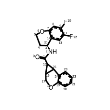 O=C(N[C@H]1CCOc2cc(F)c(F)cc21)C1C2COc3ccccc3C21